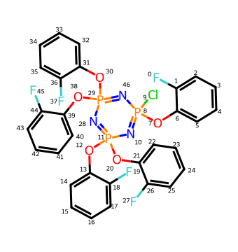 Fc1ccccc1OP1(Cl)=NP(Oc2ccccc2F)(Oc2ccccc2F)=NP(Oc2ccccc2F)(Oc2ccccc2F)=N1